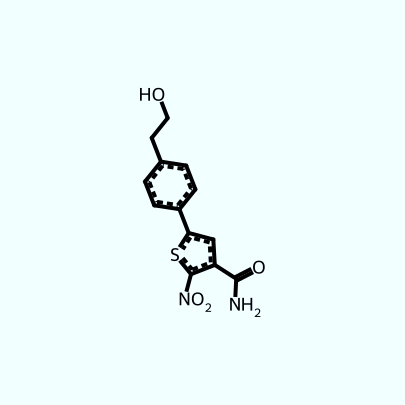 NC(=O)c1cc(-c2ccc(CCO)cc2)sc1[N+](=O)[O-]